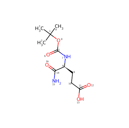 CC(C)(C)OC(=O)N[C@@H](CCC(=O)O)C(N)=O